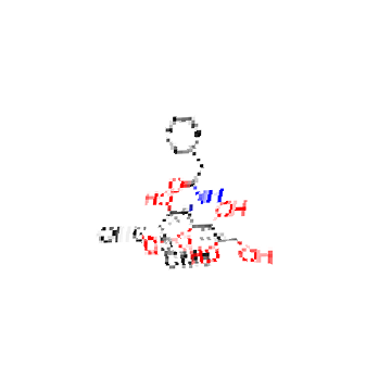 CO[C@]1(OC=O)C[C@@H](O)[C@@H](NC(=O)Cc2ccccc2)C([C@H](O)[C@H](O)CO)O1